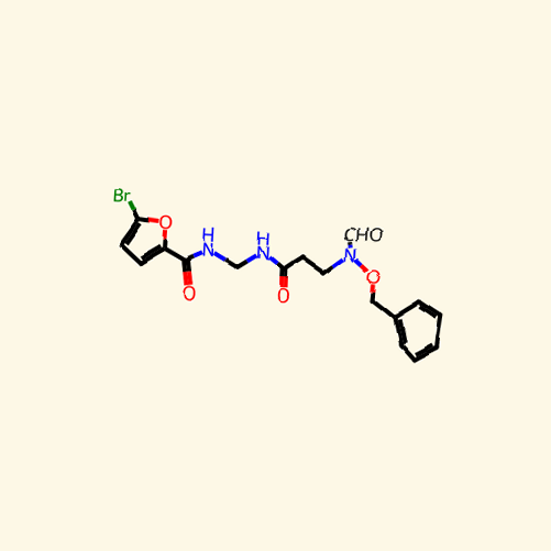 O=CN(CCC(=O)NCNC(=O)c1ccc(Br)o1)OCc1ccccc1